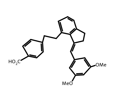 COc1cc(C=C2CCc3cccc(CCc4ccc(C(=O)O)cc4)c32)cc(OC)c1